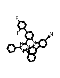 N#Cc1ccc2c3ccccc3n(-c3ccc(-c4ccc(F)cc4F)cc3-c3nc(-c4ccccc4)nc(-c4ccccc4)n3)c2c1